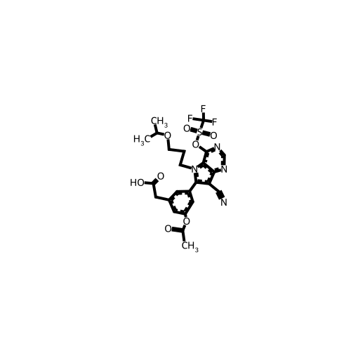 CC(=O)Oc1cc(CC(=O)O)cc(-c2c(C#N)c3ncnc(OS(=O)(=O)C(F)(F)F)c3n2CCCOC(C)C)c1